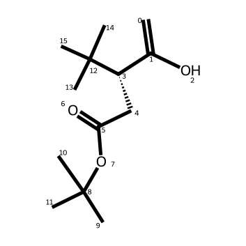 C=C(O)[C@H](CC(=O)OC(C)(C)C)C(C)(C)C